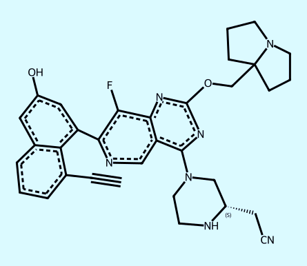 C#Cc1cccc2cc(O)cc(-c3ncc4c(N5CCN[C@@H](CC#N)C5)nc(OCC56CCCN5CCC6)nc4c3F)c12